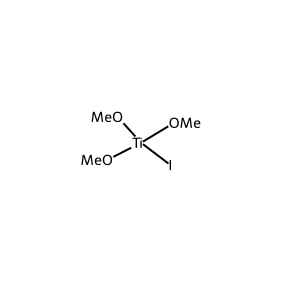 C[O][Ti]([I])([O]C)[O]C